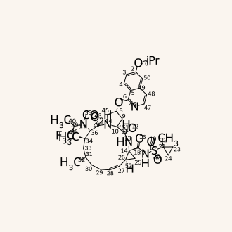 CC(C)Oc1ccc2c(O[C@@H]3C[C@H]4C(=O)N[C@]5(C(=O)NS(=O)(=O)C6(C)CC6)C[C@H]5C=CCC[C@@H](C)C[C@@H](C)[C@H](N(C(=O)O)[C@H](C)C(F)(F)F)C(=O)N4C3)nccc2c1